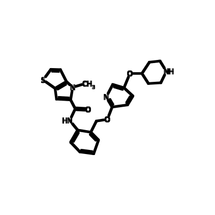 Cn1c(C(=O)Nc2ccccc2COc2ccc(OC3CCNCC3)cn2)cc2sccc21